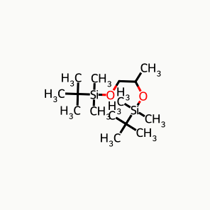 CC(CO[Si](C)(C)C(C)(C)C)O[Si](C)(C)C(C)(C)C